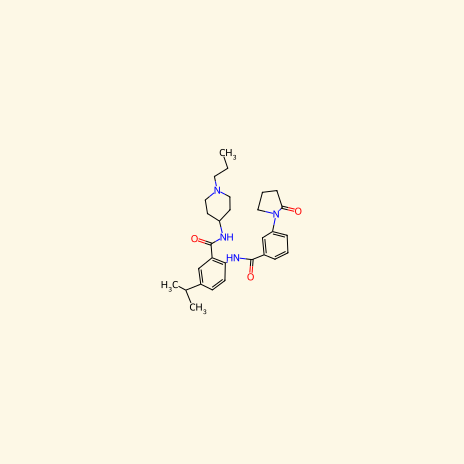 CCCN1CCC(NC(=O)c2cc(C(C)C)ccc2NC(=O)c2cccc(N3CCCC3=O)c2)CC1